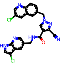 N#Cc1nn(Cc2ccc3ncc(Cl)cc3c2)cc1C(=O)NCc1cnc2[nH]cc(Cl)c2c1